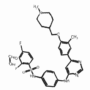 Cc1cc(-c2cc(Nc3ccc(NS(=O)(=O)c4ccc(F)cc4F)cc3)ncn2)ccc1OCC1CCN(C)CC1.O=CO